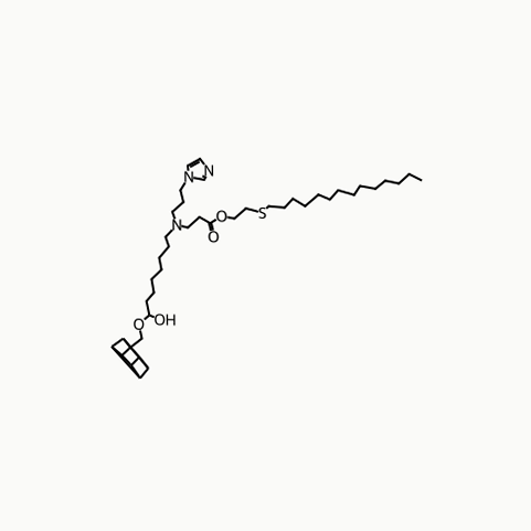 CCCCCCCCCCCCCCSCCOC(=O)CCN(CCCCCCCC(O)OCC12C3C4C5C3C1C5C42)CCCn1ccnc1